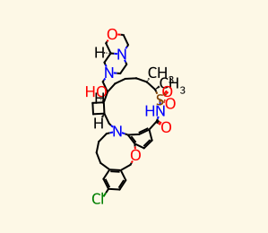 C[C@@H]1[C@@H](C)CCC[C@](O)(CN2CCN3CCOC[C@@H]3C2)[C@@H]2CC[C@H]2CN2CCCCc3cc(Cl)ccc3COc3ccc(cc32)C(=O)NS1(=O)=O